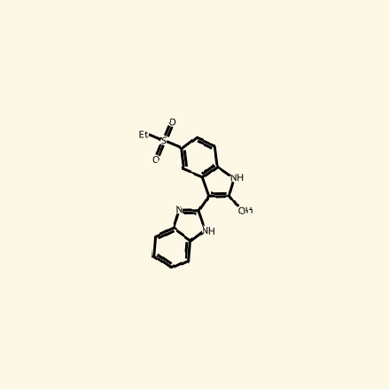 CCS(=O)(=O)c1ccc2[nH]c(O)c(-c3nc4ccccc4[nH]3)c2c1